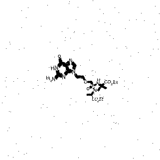 CCOC(=O)[C@H](C)NP(=O)(COCCn1cnc2c(=O)[nH]c(N)nc21)NC(C)(C)C(=O)OCC